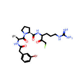 CC(C)C(NC(=O)Cc1cccc(Br)c1)C(=O)N1CCC[C@H]1C(=O)NC(CCCNC(=N)N)C(=O)CF